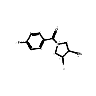 CC(C)(C)C1CN(C(=O)c2ccc(F)cc2)CC1F